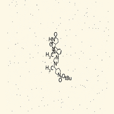 CC(C1CCN(C(=O)OC(C)(C)C)CC1)N1CCN(c2cccc3c(C4CCC(=O)NC4=O)nn(C)c23)CC1